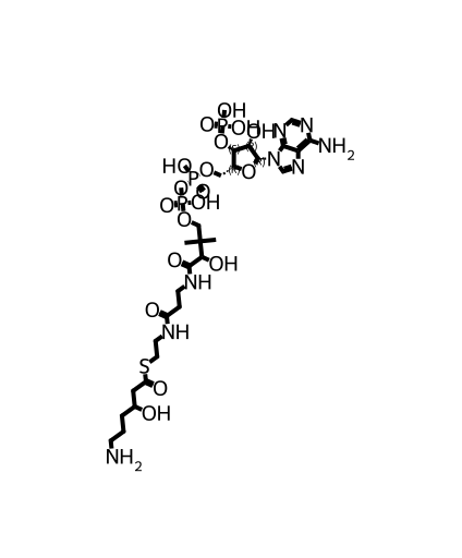 CC(C)(COP(=O)(O)OP(=O)(O)OC[C@H]1O[C@@H](n2cnc3c(N)ncnc32)[C@H](O)[C@@H]1OP(=O)(O)O)C(O)C(=O)NCCC(=O)NCCSC(=O)CC(O)CCCN